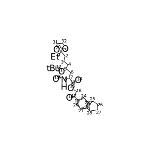 CCC1(CCCCCC(NC(=O)OC(C)(C)C)C(=O)OCC(=O)c2ccc3c(c2)C2CCC3C2)OCCO1